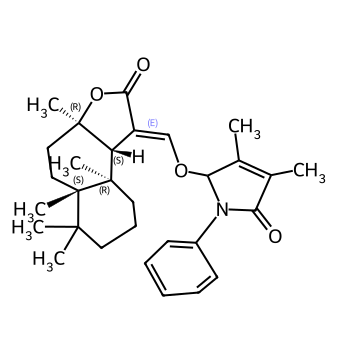 CC1=C(C)C(O/C=C2/C(=O)O[C@]3(C)CC[C@@]4(C)C(C)(C)CCC[C@]4(C)[C@@H]23)N(c2ccccc2)C1=O